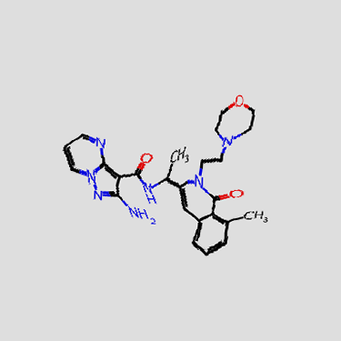 Cc1cccc2cc(C(C)NC(=O)c3c(N)nn4cccnc34)n(CCN3CCOCC3)c(=O)c12